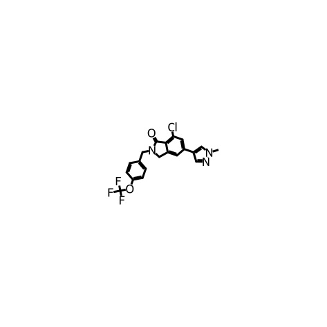 Cn1cc(-c2cc(Cl)c3c(c2)CN(Cc2ccc(OC(F)(F)F)cc2)C3=O)cn1